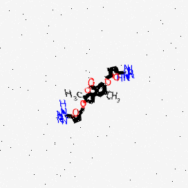 Cc1cc2c(cc1OCc1ccc(-c3nnn[nH]3)o1)c(=O)oc1c(C)c(OCc3ccc(-c4nnn[nH]4)o3)ccc12